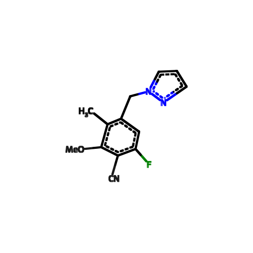 COc1c(C)c(Cn2cccn2)cc(F)c1C#N